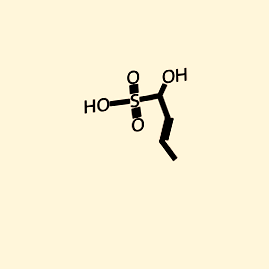 CC=CC(O)S(=O)(=O)O